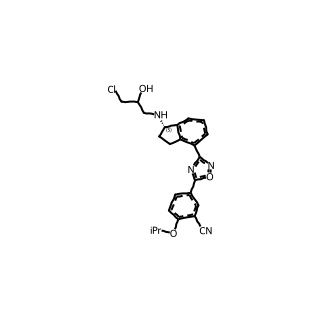 CC(C)Oc1ccc(-c2nc(-c3cccc4c3CC[C@@H]4NCC(O)CCl)no2)cc1C#N